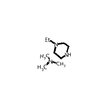 CCN1CCNCC1.CN(C)C